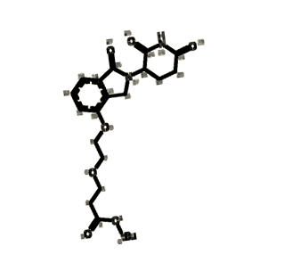 CC(C)(C)OC(=O)CCOCCOc1cccc2c1CN(C1CCC(=O)NC1=O)C2=O